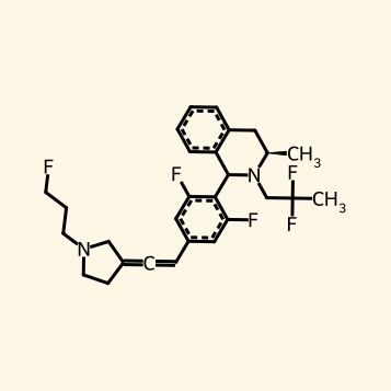 C[C@@H]1Cc2ccccc2C(c2c(F)cc(C=C=C3CCN(CCCF)C3)cc2F)N1CC(C)(F)F